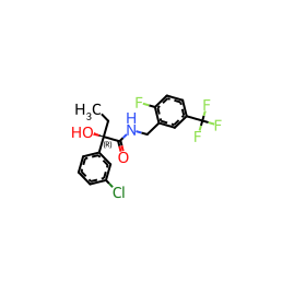 CC[C@](O)(C(=O)NCc1cc(C(F)(F)F)ccc1F)c1cccc(Cl)c1